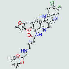 COC(CNC/C=C/C(=O)Nc1c(O[C@H]2CCOC2)ccc2c(Nc3ccc(F)c(Cl)c3)c(C#N)cnc12)OC